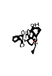 O=C1c2ccccc2C(=O)N1[C@@H]1CCC2(O)[C@H]3Cc4ccc(O)c5c4[C@@]2(CCN3CC2CC2)[C@@H]1O5